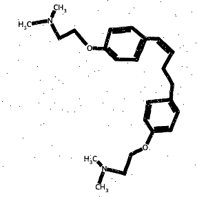 CN(C)CCOc1ccc(/C=C\CCc2ccc(OCCN(C)C)cc2)cc1